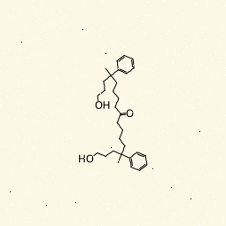 CC(CCCO)(CCCCC(=O)CCCCC(C)(CCCO)c1ccccc1)c1ccccc1